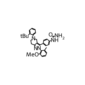 COc1cccc(C)c1-n1nc2c(c1-c1ccc(NC(N)=O)cc1)CN(c1ccccc1C(C)(C)C)CC2